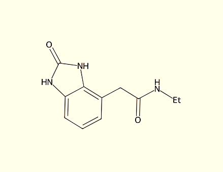 CCNC(=O)Cc1cccc2[nH]c(=O)[nH]c12